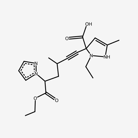 CCOC(=O)C(CC(C)C#CC1(C(=O)O)C=C(C)NN1CC)n1cccn1